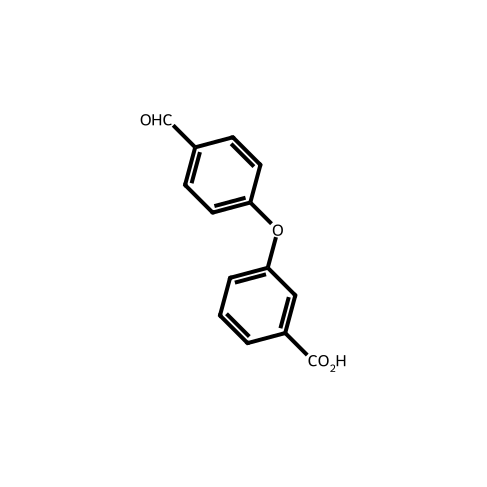 O=Cc1ccc(Oc2cccc(C(=O)O)c2)cc1